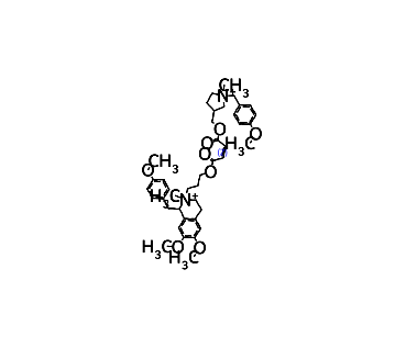 COc1ccc(CC2c3cc(OC)c(OC)cc3CC[N+]2(C)CCCOC(=O)/C=C\C(=O)OCC2CC[N+](C)(Cc3ccc(OC)cc3)C2)cc1